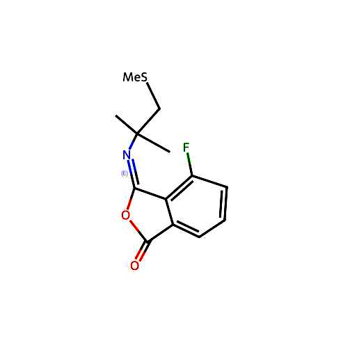 CSCC(C)(C)/N=C1/OC(=O)c2cccc(F)c21